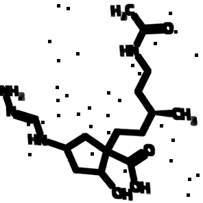 CC(=O)NCC[C@@H](C)CCC1(C(=O)O)CC(NC=NN)CC1O